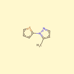 Cc1[c]cnn1-c1cccs1